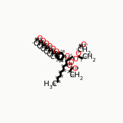 C=CC(=O)OCC(CCCCCCCCC)(OOC(=O)C=C)Oc1ccccc1.[CH2]C[O].[CH2]C[O].[CH2]C[O].[CH2]C[O].[CH2]C[O].[CH2]C[O].[CH2]C[O]